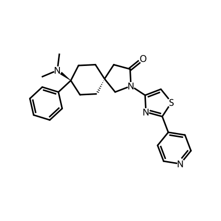 CN(C)[C@]1(c2ccccc2)CC[C@]2(CC1)CC(=O)N(c1csc(-c3ccncc3)n1)C2